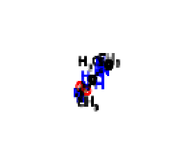 CN(C)c1nc(NC[C@H]2CC[C@H](CNS(=O)(=O)c3cn(C)cn3)CC2)nc2ccccc12